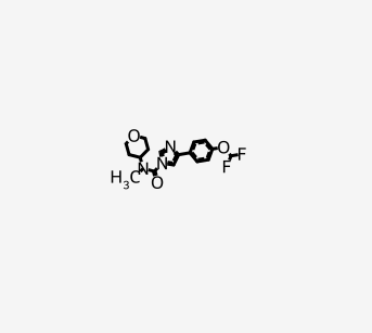 CN(C(=O)n1cnc(-c2ccc(OC(F)F)cc2)c1)C1CCOCC1